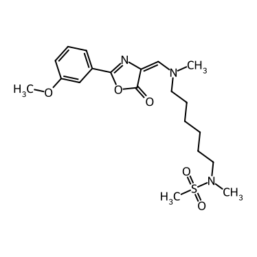 COc1cccc(C2=N/C(=C/N(C)CCCCCCN(C)S(C)(=O)=O)C(=O)O2)c1